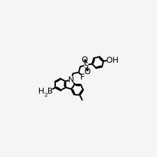 Bc1ccc2c(c1)c1cc(C)ccc1n2CC(F)CS(=O)(=O)c1ccc(O)cc1